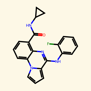 O=C(NC1CC1)c1cccc2c1nc(Nc1ccccc1F)c1cccn12